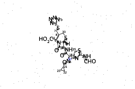 Cn1nnnc1SCC1=C(C(=O)O)N2C(=O)[C@@H](NC(=O)/C(=N\OC3CC3)c3csc(NC=O)n3)[C@H]2SC1